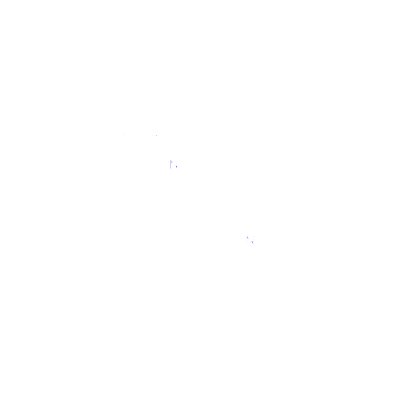 CC[N+](C)(C)Oc1c(C)n(C(C)=O)c2ccccc12